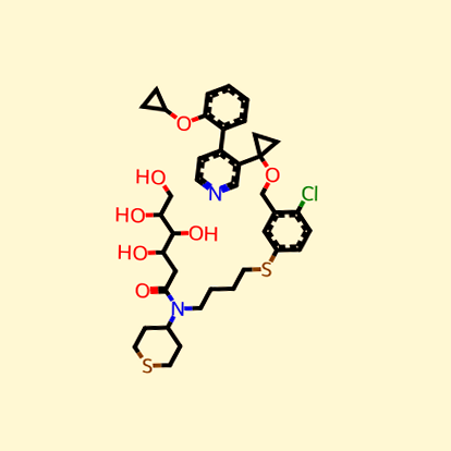 O=C(CC(O)C(O)C(O)CO)N(CCCCSc1ccc(Cl)c(COC2(c3cnccc3-c3ccccc3OC3CC3)CC2)c1)C1CCSCC1